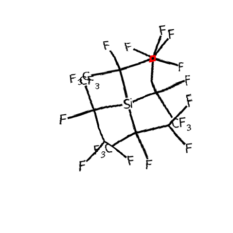 FC(F)C(F)(C(F)(F)F)[Si](C(F)(C(F)F)C(F)(F)F)(C(F)(C(F)F)C(F)(F)F)C(F)(C(F)F)C(F)(F)F